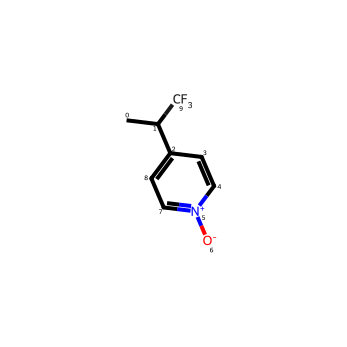 CC(c1cc[n+]([O-])cc1)C(F)(F)F